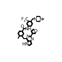 Cc1ccc(C(=O)Nc2ccc(CN3CCN(C)CC3)c(C(F)(F)F)c2)cc1Cc1nc(-c2ccoc2)nc2cc[nH]c12